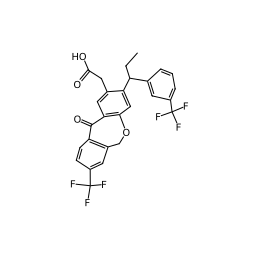 CCC(c1cccc(C(F)(F)F)c1)c1cc2c(cc1CC(=O)O)C(=O)c1ccc(C(F)(F)F)cc1CO2